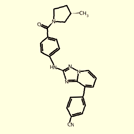 C[C@H]1CCN(C(=O)c2ccc(Nc3nc4c(-c5ccc(C#N)cc5)cccn4n3)cc2)C1